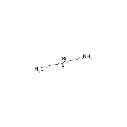 CCCCCCCCC(Br)C(Br)CCCCCCCN